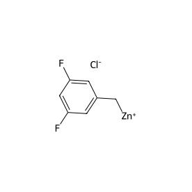 Fc1cc(F)cc([CH2][Zn+])c1.[Cl-]